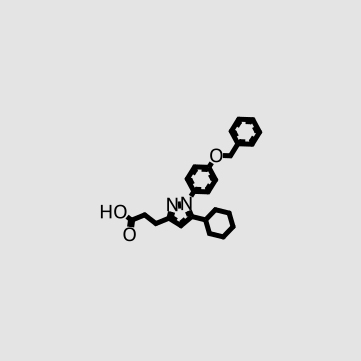 O=C(O)CCc1cc(C2CCCCC2)n(-c2ccc(OCc3ccccc3)cc2)n1